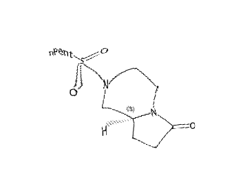 CCCCCS(=O)(=O)N1CCN2C(=O)CC[C@H]2C1